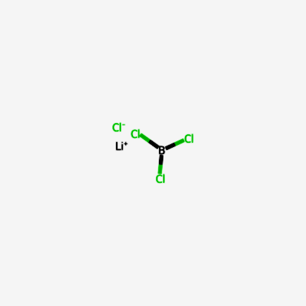 ClB(Cl)Cl.[Cl-].[Li+]